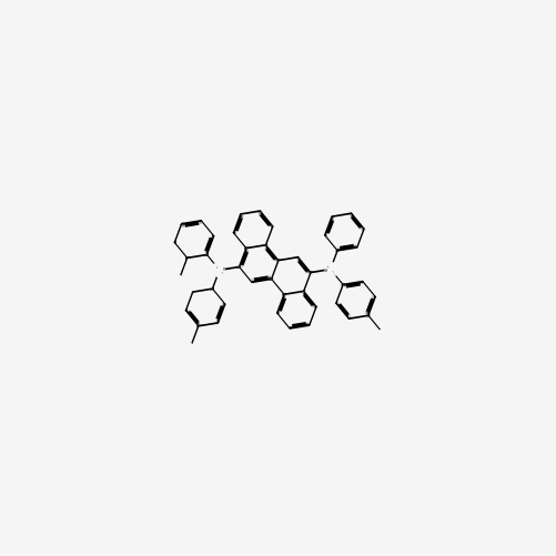 CC1=CCC(N(C2=CC=CCC2C)c2cc3c4ccccc4c(N(c4ccccc4)c4ccc(C)cc4)cc3c3ccccc23)C=C1